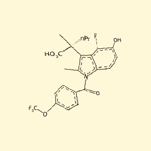 CCC[C@@](C)(C(=O)O)c1c(C)n(C(=O)c2ccc(OC(F)(F)F)cc2)c2ccc(O)c(F)c12